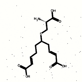 N[C@@H](CSC(CC=CC(=O)O)CCC=CC(=O)O)C(=O)O